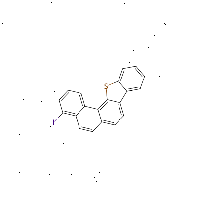 Ic1cccc2c1ccc1ccc3c4ccccc4sc3c12